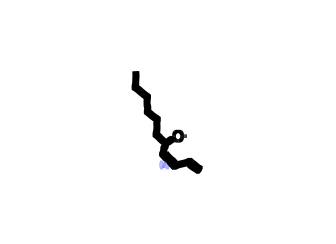 C=C/C=C\C([O])CCCCCC